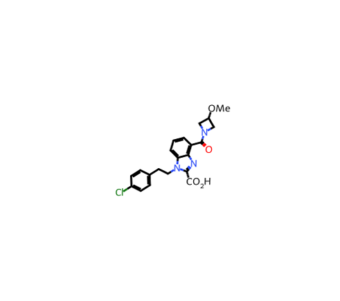 COC1CN(C(=O)c2cccc3c2nc(C(=O)O)n3CCc2ccc(Cl)cc2)C1